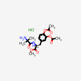 COC(=O)[C@H](Cc1ccc(OC(C)=O)c(OC(C)=O)c1)NC(=O)C(C)(C)N.Cl